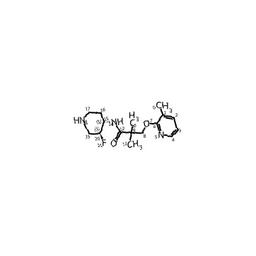 Cc1cccnc1OCC(C)(C)C(=O)N[C@H]1CCNC[C@@H]1F